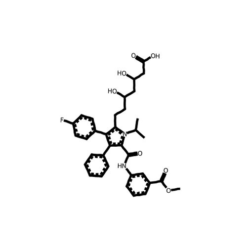 COC(=O)c1cccc(NC(=O)c2c(-c3ccccc3)c(-c3ccc(F)cc3)c(CCC(O)CC(O)CC(=O)O)n2C(C)C)c1